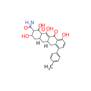 Cc1ccc(-c2ccc(O)c3c2C[C@H]2C[C@H]4CC(O)C(C(N)=O)C(=O)[C@@]4(O)C(O)=C2C3=O)cc1